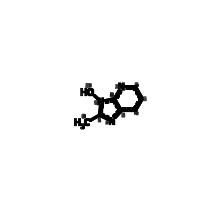 Cc1nc2cccnc2n1O